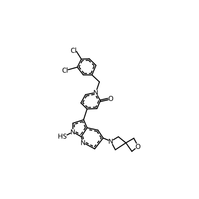 O=c1cc(-c2cn(S)c3ncc(N4CC5(COC5)C4)cc23)ccn1Cc1ccc(Cl)c(Cl)c1